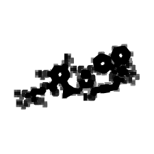 Cc1cc(C)c(C(=O)OCC[Si](C)(C)C)c(C2CC2C[C@@H]2OC(C)(C)O[C@@H]2C(O)C#CC[C@H](C)O[Si](c2ccccc2)(c2ccccc2)C(C)(C)C)c1